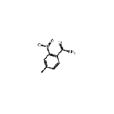 NC(=O)c1ccc(I)cc1[N+](=O)[O-]